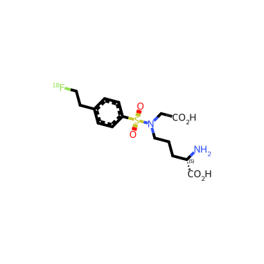 N[C@@H](CCCN(CC(=O)O)S(=O)(=O)c1ccc(CC[18F])cc1)C(=O)O